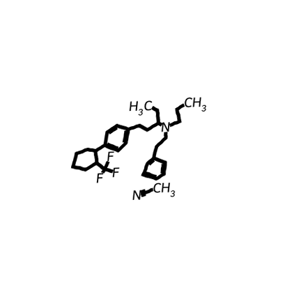 CC#N.CCCN(CCc1ccccc1)C(CC)CCc1ccc(C2CCCCC2C(F)(F)F)cc1